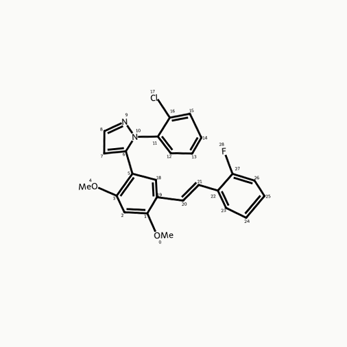 COc1cc(OC)c(-c2ccnn2-c2ccccc2Cl)cc1C=Cc1ccccc1F